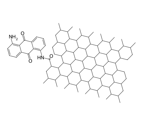 CC1CCC2C(C1C)C1C(C)C(C)C3C4C(C)C(C)C5C6C(C)C(C)CC7CCC8C(C76)C6C5C4C4C5C3C1C1C2C2CCC3CC(C)C(C)C7C3C2C2C3C7C(C)C(C)C7C9C(C)C(C)C%10C%11C(C)C(C)CC(C(=O)Nc%12cccc%13c%12C(=O)c%12cccc(N)c%12C%13=O)C%11C8C8C%10C9C(C(C73)C5C12)C4C68